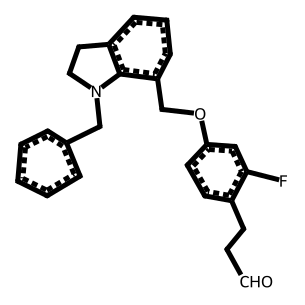 O=CCCc1ccc(OCc2cccc3c2N(Cc2ccccc2)CC3)cc1F